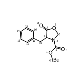 CC(C)(C)OC(=O)N1COC(=O)C1Cc1ccccc1